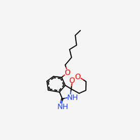 CCCCCCOc1cccc2c1C1(CCCOO1)NC2=N